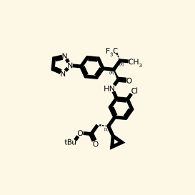 C[C@H]([C@@H](C(=O)Nc1cc([C@@H](CC(=O)OC(C)(C)C)C2CC2)ccc1Cl)c1ccc(-n2nccn2)cc1)C(F)(F)F